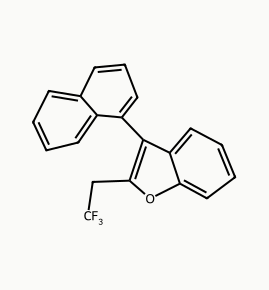 FC(F)(F)Cc1oc2ccccc2c1-c1cccc2ccccc12